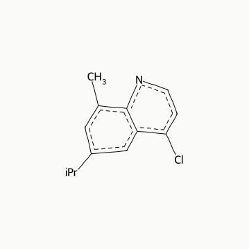 Cc1cc(C(C)C)cc2c(Cl)ccnc12